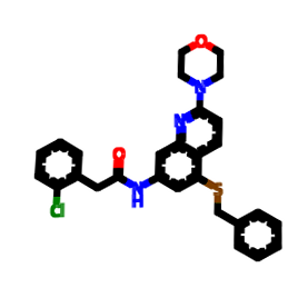 O=C(Cc1ccccc1Cl)Nc1cc(SCc2ccccc2)c2ccc(N3CCOCC3)nc2c1